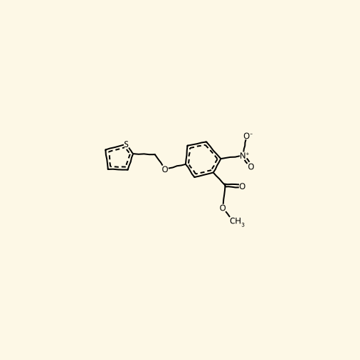 COC(=O)c1cc(OCc2cccs2)ccc1[N+](=O)[O-]